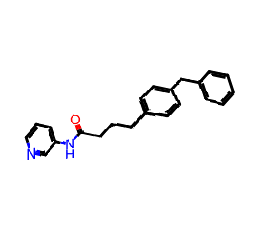 O=C(CCCc1ccc(Cc2ccccc2)cc1)Nc1cccnc1